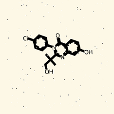 CC(C)(CO)c1nc2cc(O)ccc2c(=O)n1-c1ccc(Cl)cc1